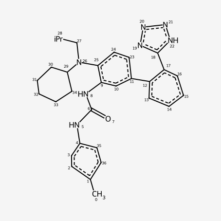 Cc1ccc(NC(=O)Nc2cc(-c3ccccc3-c3nnn[nH]3)ccc2N(CC(C)C)C2CCCCC2)cc1